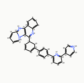 C1=CC(c2nc3ccccc3c3nc4ccccn4c23)CC(c2ccc(-c3cccc(-c4ccncc4)n3)cc2)=C1